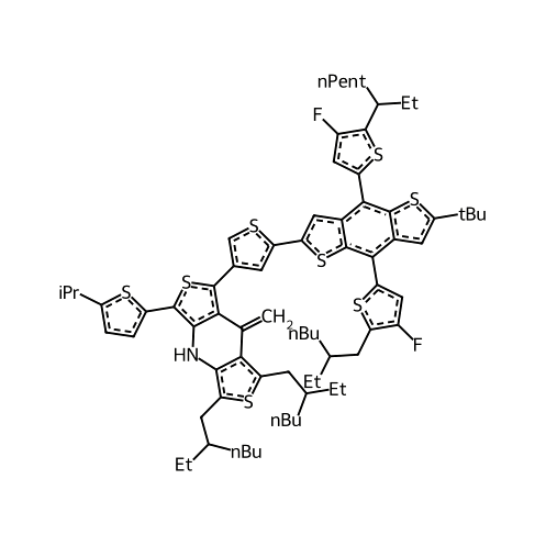 C=C1c2c(CC(CC)CCCC)sc(CC(CC)CCCC)c2Nc2c(-c3ccc(C(C)C)s3)sc(-c3csc(-c4cc5c(-c6cc(F)c(C(CC)CCCCC)s6)c6sc(C(C)(C)C)cc6c(-c6cc(F)c(CC(CC)CCCC)s6)c5s4)c3)c21